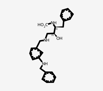 O=C(O)N[C@@H](Cc1ccccc1)[C@@H](O)CNCc1cccc(NCc2ccccc2)c1